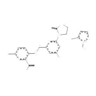 Cc1cc([C@@H](C)Nc2ccc(Cl)nc2C(=O)O)nc(N2C(=O)OC[C@@H]2Cc2ccnn2C)c1